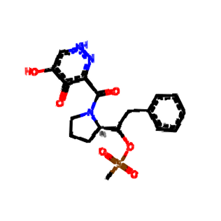 CS(=O)(=O)OC(Cc1ccccc1)[C@H]1CCCN1C(=O)c1n[nH]cc(O)c1=O